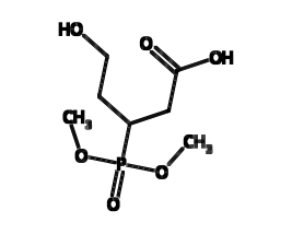 COP(=O)(OC)C(CCO)CC(=O)O